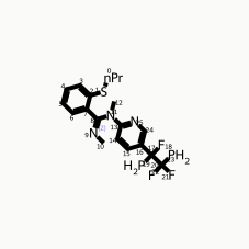 CCCSc1ccccc1/C(=N/C)N(C)c1ccc(C(F)(P)C(F)(F)P)cn1